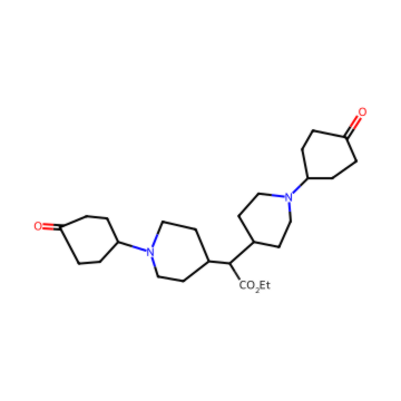 CCOC(=O)C(C1CCN(C2CCC(=O)CC2)CC1)C1CCN(C2CCC(=O)CC2)CC1